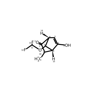 CC1C(=O)[C@@H]2C=C(O)[C@H]1C2OC(F)F